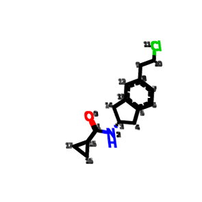 O=C(N[C@H]1Cc2ccc(CCCl)cc2C1)C1CC1